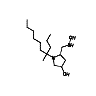 CCCCCCC(C)(CCC)N1CC(O)CC1CBO